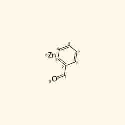 O=Cc1ccccc1.[Zn]